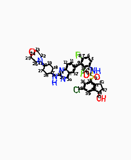 O=S(=O)(Nc1ccc(F)c(-c2ccc3nc(NC4CCC(N5CCOCC5)CC4)ncc3c2)c1F)c1cc(Cl)cc2c1CCC2O